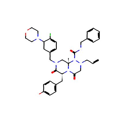 C=CCN1CC(=O)N2[C@@H](Cc3ccc(O)cc3)C(=O)N(CC3=CC=C(Cl)C(N4CCOCC4)C3)C[C@@H]2N1C(=O)NCc1ccccc1